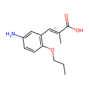 CCCOc1ccc(N)cc1/C=C(\C)C(=O)O